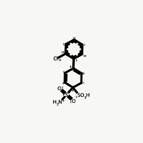 NS(=O)(=O)C1(S(=O)(=O)O)C=CC(c2ccccc2Cl)=CC1